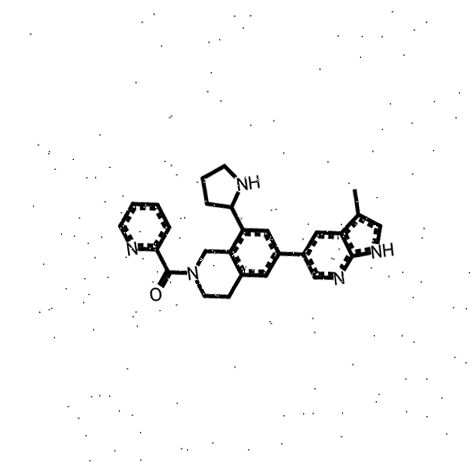 Cc1c[nH]c2ncc(-c3cc4c(c(C5CCCN5)c3)CN(C(=O)c3ccccn3)CC4)cc12